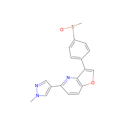 Cn1cc(-c2ccc3occ(-c4ccc([S+](C)[O-])cc4)c3n2)cn1